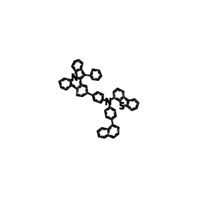 c1ccc(-c2c3ccccc3n3c4ccccc4c4ccc(-c5ccc(N(c6ccc(-c7cccc8ccccc78)cc6)c6cccc7c6sc6ccccc67)cc5)cc4c23)cc1